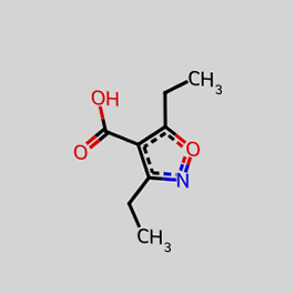 CCc1noc(CC)c1C(=O)O